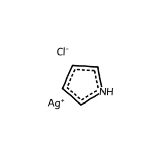 [Ag+].[Cl-].c1cc[nH]c1